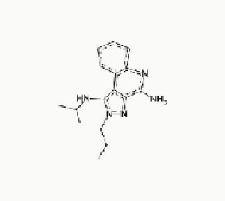 CCCn1nc2c(N)nc3ccccc3c2c1NC(C)C